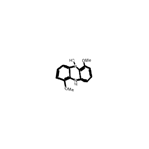 COc1cccc2c1Nc1cccc(OC)c1N2O